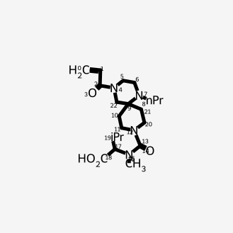 C=CC(=O)N1CCN(CCC)C2(CCN(C(=O)N(C)C(C(=O)O)C(C)C)CC2)C1